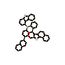 c1ccc(N(c2ccc(-c3ccc4ccccc4c3)cc2)c2cccc3sc4ccccc4c23)c(-c2cccc3oc4c5ccccc5ccc4c23)c1